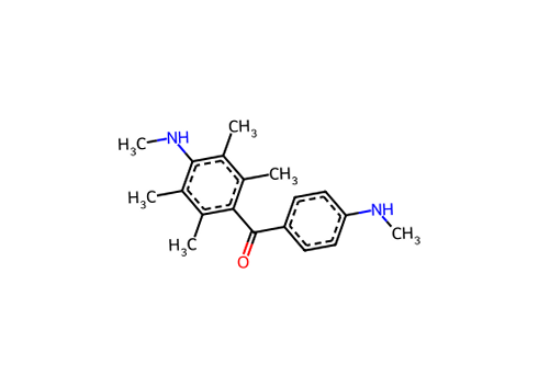 CNc1ccc(C(=O)c2c(C)c(C)c(NC)c(C)c2C)cc1